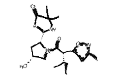 Cc1cc([C@@H](C(=O)N2C[C@H](O)C[C@@H]2C2=NC(=O)C(C)(C)N2)C(C)C)on1